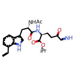 C=Cc1cccc2c(C[C@H](NC(C)=O)C(=O)N[C@@H](CCC(=O)C=N)C(=O)OC(C)C)c[nH]c12